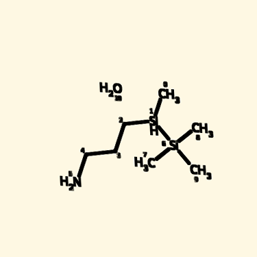 C[SiH](CCCN)[Si](C)(C)C.O